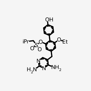 CCOc1cc(Cc2cnc(N)nc2N)cc(OS(=O)(=O)CC(C)C)c1-c1ccc(O)cc1